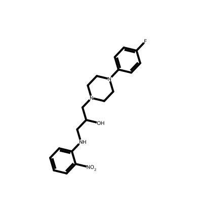 O=[N+]([O-])c1ccccc1NCC(O)CN1CCN(c2ccc(F)cc2)CC1